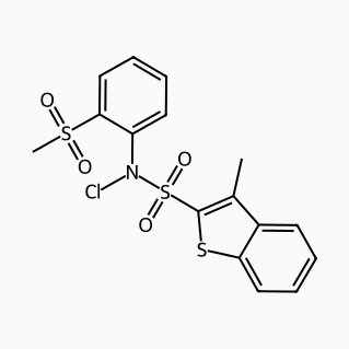 Cc1c(S(=O)(=O)N(Cl)c2ccccc2S(C)(=O)=O)sc2ccccc12